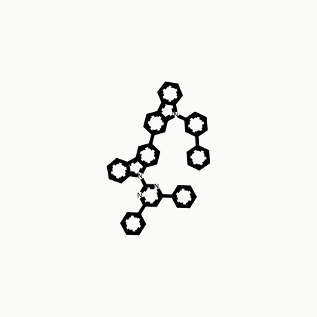 c1ccc(-c2cccc(-n3c4ccccc4c4ccc(-c5ccc6c(c5)c5ccccc5n6-c5nc(-c6ccccc6)cc(-c6ccccc6)n5)cc43)c2)cc1